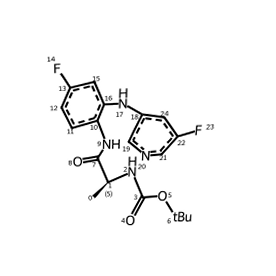 C[C@H](NC(=O)OC(C)(C)C)C(=O)Nc1ccc(F)cc1Nc1cncc(F)c1